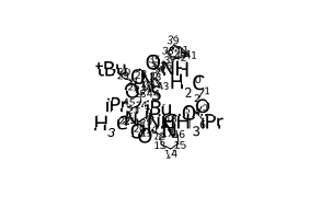 C=CCOC(=O)C(C)C.CC[C@H](C)[C@H](NC(=O)C1CCCCN1C)C(=O)N(C)[C@H](C[C@@H](OC(=O)CC(C)(C)C)c1nc(C(=O)Nc2ccc3cc2-3)cs1)C(C)C